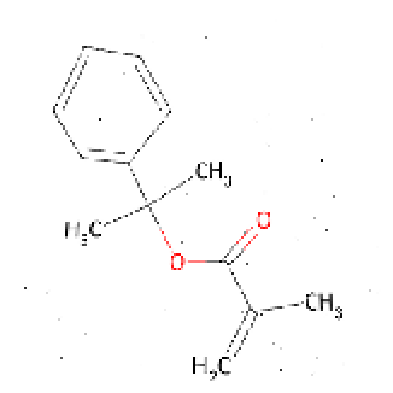 C=C(C)C(=O)OC(C)(C)c1ccccc1